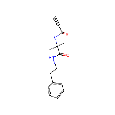 C#CC(=O)N(C)C(C)(C)C(=O)NCCc1ccccc1